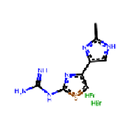 Br.Br.Cc1nc(-c2csc(NC(=N)N)n2)c[nH]1